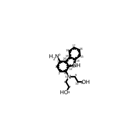 Nc1ccc(N(CCO)CCO)c2[nH]c3ccccc3c12